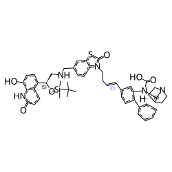 CC(C)(C)[Si](C)(C)O[C@H](CNCc1ccc2c(c1)sc(=O)n2CC/C=C/c1ccc(-c2ccccc2)c(N(C(=O)O)[C@H]2CN3CCC2CC3)c1)c1ccc(O)c2[nH]c(=O)ccc12